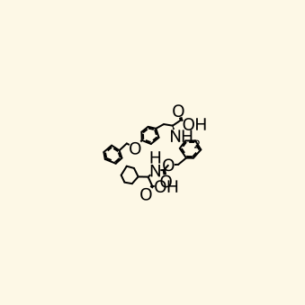 N[C@@H](Cc1ccc(OCc2ccccc2)cc1)C(=O)O.O=C(NC(C(=O)O)C1CCCCC1)OCc1ccccc1